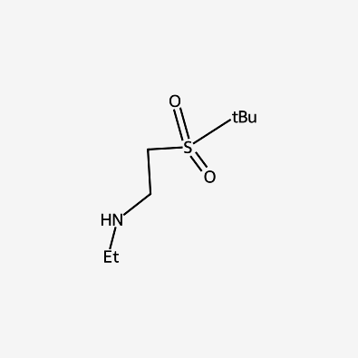 CCNCCS(=O)(=O)C(C)(C)C